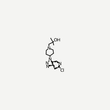 CC(C)(O)CN1CCC(n2nnc3cc(Cl)ncc32)CC1